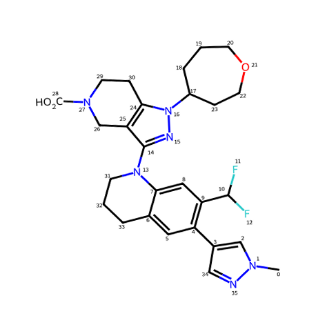 Cn1cc(-c2cc3c(cc2C(F)F)N(c2nn(C4CCCOCC4)c4c2CN(C(=O)O)CC4)CCC3)cn1